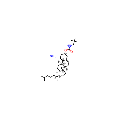 CC(C)CCC[C@@H](C)[C@H]1CC[C@H]2[C@@H]3CC=C4C[C@@H](OC(=O)NCC(C)(C)C)CC[C@]4(C)[C@H]3CC[C@]12C.N